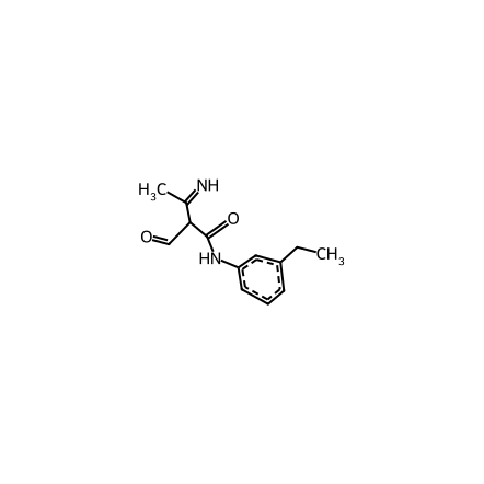 CCc1cccc(NC(=O)C(C=O)C(C)=N)c1